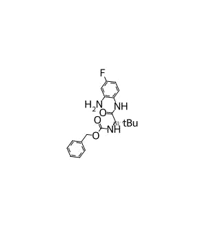 CC(C)(C)[C@H](NC(=O)OCc1ccccc1)C(=O)Nc1ccc(F)cc1N